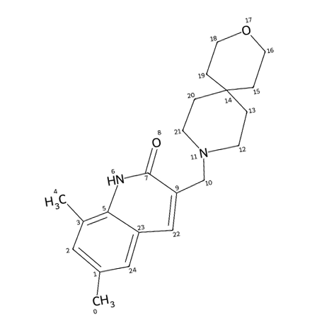 Cc1cc(C)c2[nH]c(=O)c(CN3CCC4(CCOCC4)CC3)cc2c1